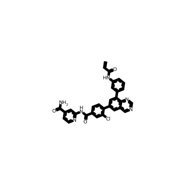 C=CC(=O)Nc1cccc(-c2cc(-c3ccc(C(=O)Nc4cc(C(N)=O)ccn4)cc3Cl)cc3cncnc23)c1